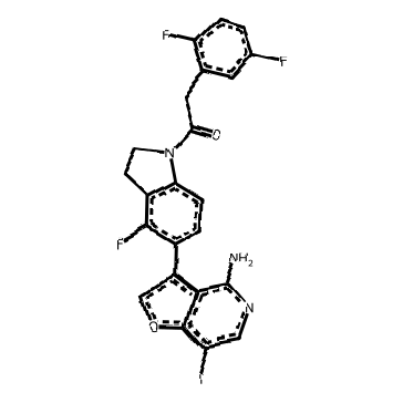 Nc1ncc(I)c2occ(-c3ccc4c(c3F)CCN4C(=O)Cc3cc(F)ccc3F)c12